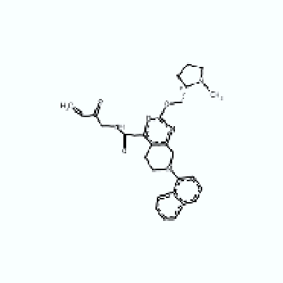 C=CC(=O)CNC(=O)c1nc(OC[C@@H]2CCCN2C)nc2c1CCN(c1cccc3ccccc13)C2